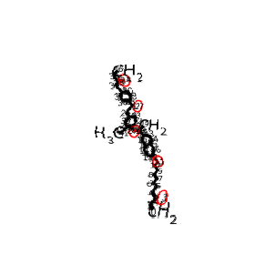 C=CC(=O)CCCCCCCOc1ccc2cc(C(=C)Oc3ccc(CC(=O)c4ccc(CC(=O)C=C)cc4)cc3CC)ccc2c1